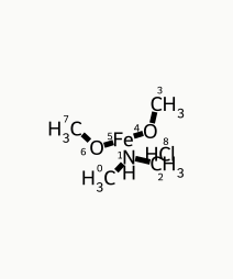 CNC.C[O][Fe][O]C.Cl